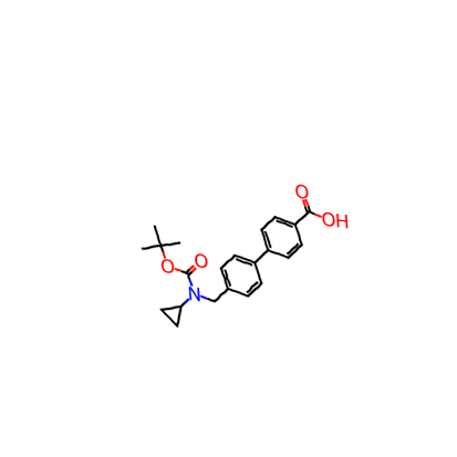 CC(C)(C)OC(=O)N(Cc1ccc(-c2ccc(C(=O)O)cc2)cc1)C1CC1